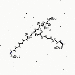 CCCCCCCC/C=C\CCCCCCCC(=O)OCC(COC(=O)[C@@H](N)CC(=O)OC(C)(C)C)OC(=O)CCCCCCC/C=C\CCCCCCCC